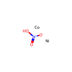 O=[N+]([O-])O.[Co].[Ni]